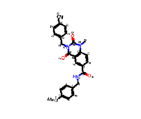 COc1ccc(CNC(=O)c2ccc3c(c2)c(=O)n(Cc2ccc(C#N)cc2)c(=O)n3C)cc1